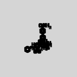 C[C@@H]1[C@@H](N(c2ccc(-c3ccc(C(N)=O)cc3)cc2)S(=O)(=O)c2ccc(NCC3CCCCC3)c([N+](=O)[O-])c2)C[C@H]2C[C@@H]1C2(C)C